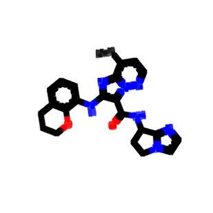 CNc1ccnn2c(C(=O)NC3CCn4ccnc43)c(Nc3cccc4c3OCCC4)nc12